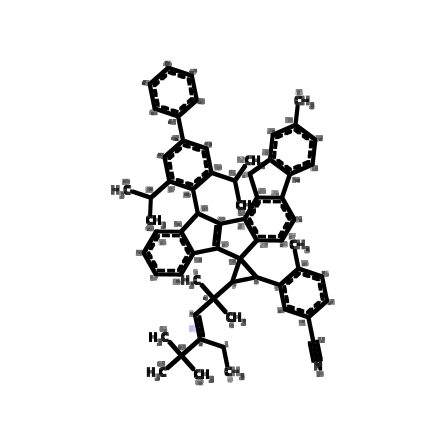 CC/C(=C\C(C)(C)C1C(c2cc(C#N)ccc2C)C12C1=C(c3c2ccc2c3Cc3cc(C)ccc3-2)C(c2c(C(C)C)cc(-c3ccccc3)cc2C(C)C)c2ccccc21)C(C)(C)C